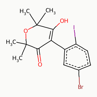 CC1(C)OC(C)(C)C(O)=C(c2cc(Br)ccc2I)C1=O